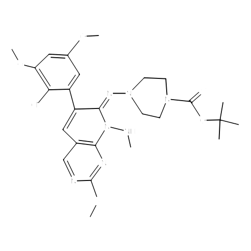 CNn1/c(=N\N2CCN(C(=O)OC(C)(C)C)CC2)c(-c2cc(OC)cc(OC)c2Cl)cc2cnc(SC)nc21